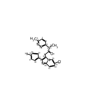 Cc1ccc(N(C)C(=O)Cc2c(-c3ccc(I)cc3)nc3ccc(Cl)cn23)nn1